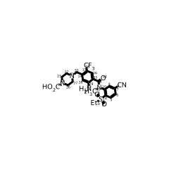 CCS(=O)(=O)c1ccc(C#N)cc1N(C)C(=O)c1cc(C(F)(F)F)c(CN2CCN(C(=O)O)CC2)cc1N